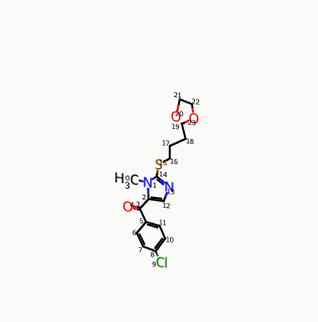 Cn1c(C(=O)c2ccc(Cl)cc2)cnc1SCCCC1OCCO1